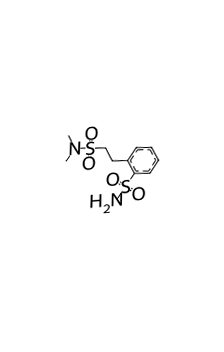 CN(C)S(=O)(=O)CCc1ccccc1S(N)(=O)=O